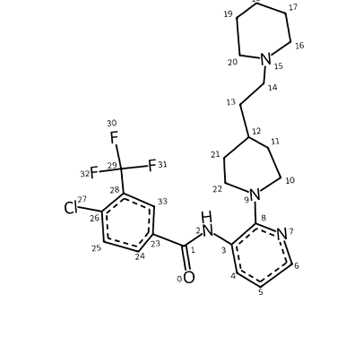 O=C(Nc1cccnc1N1CCC(CCN2CCCCC2)CC1)c1ccc(Cl)c(C(F)(F)F)c1